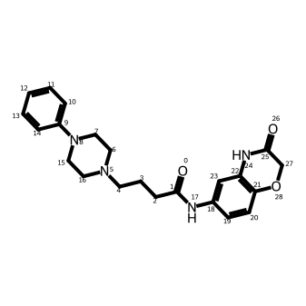 O=C(CCCN1CCN(c2ccccc2)CC1)Nc1ccc2c(c1)NC(=O)CO2